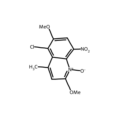 COc1cc([N+](=O)[O-])c2c(c(C)cc(OC)[n+]2[O-])c1Cl